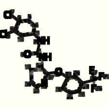 O=C(Nc1ccc(Cl)c(Cl)c1)Nc1cccnc1Oc1cccc(C(F)(F)F)c1